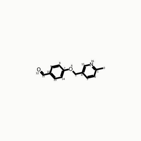 Cc1ccc(COc2ccc(C=O)cc2)cn1